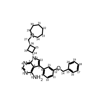 Nc1ncnc2c1c(-c1cccc(OCc3ccccc3)c1)cn2[C@H]1C[C@H](CN2CCCCCC2)C1